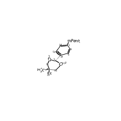 CCCCCc1ccc([C@H]2OC[C@](C)(CC)CO2)cc1